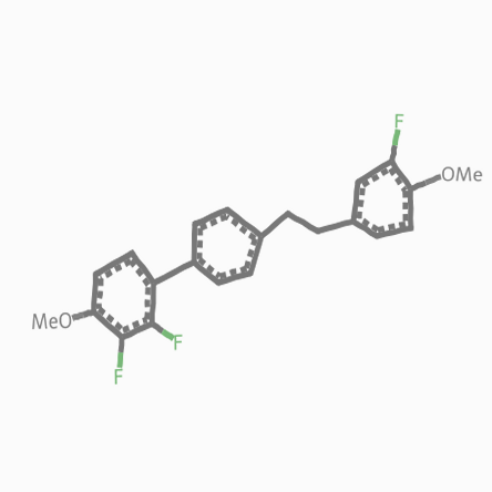 COc1ccc(CCc2ccc(-c3ccc(OC)c(F)c3F)cc2)cc1F